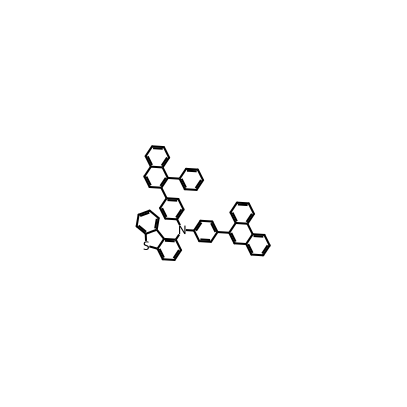 c1ccc(-c2c(-c3ccc(N(c4ccc(-c5cc6ccccc6c6ccccc56)cc4)c4cccc5sc6ccccc6c45)cc3)ccc3ccccc23)cc1